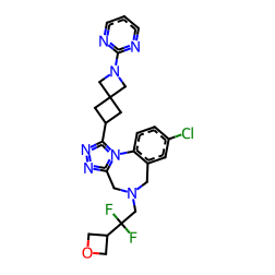 FC(F)(CN1Cc2cc(Cl)ccc2-n2c(nnc2C2CC3(C2)CN(c2ncccn2)C3)C1)C1COC1